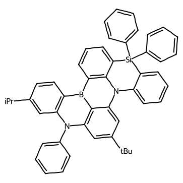 CC(C)c1ccc2c(c1)N(c1ccccc1)c1cc(C(C)(C)C)cc3c1B2c1cccc2c1N3c1ccccc1[Si]2(c1ccccc1)c1ccccc1